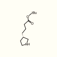 CC(C)(C)OC(=O)CCC[C@H]1CCNC1